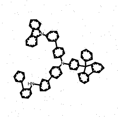 c1ccc(-c2ccccc2Nc2cccc(-c3ccc(N(c4ccc(-c5cccc(-n6c7ccccc7c7ccccc76)c5)cc4)c4ccc(C5(c6ccccc6)c6ccccc6-c6ccccc65)cc4)cc3)c2)cc1